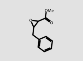 COC(=O)C1OC1Cc1ccccc1